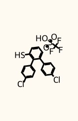 O=S(=O)(O)C(F)(F)F.Sc1cccc(-c2ccc(Cl)cc2)c1-c1ccc(Cl)cc1